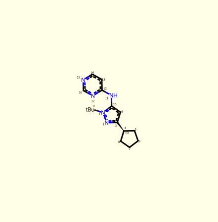 CC(C)(C)n1nc([C@H]2C[CH]CC2)cc1Nc1ccncn1